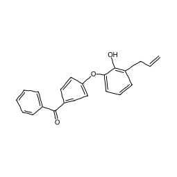 C=CCc1cccc(Oc2ccc(C(=O)c3ccccc3)cc2)c1O